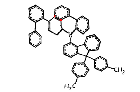 Cc1ccc(C2(c3ccc(C)cc3)c3ccccc3-c3c(N(c4ccccc4-c4ccccc4)C4C=CC(c5ccccc5-c5ccccc5)=CC4)cccc32)cc1